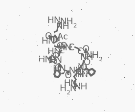 CC(=O)N1C[C@H](CC(=O)N[C@H]2CC(=O)NCCCC[C@@H](C(N)=O)NC(=O)[C@H](Cc3c[nH]c4ccccc34)NC(=O)[C@H](CCCNC(=N)N)NC(=O)[C@@H](Cc3ccccc3)NC(=O)[C@H](Cc3c[nH]cn3)NC2=O)NC(=O)[C@@H]1CCCNC(=N)N